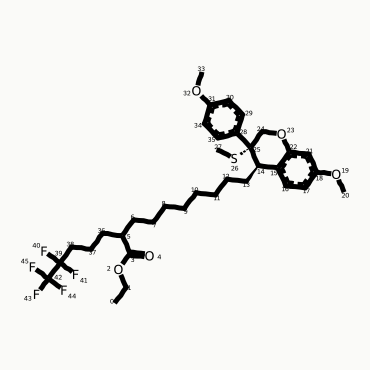 CCOC(=O)C(CCCCCCCC[C@@H]1c2ccc(OC)cc2OC[C@]1(SC)c1ccc(OC)cc1)CCCC(F)(F)C(F)(F)F